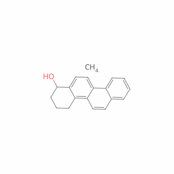 C.OC1CCCc2c1ccc1c2ccc2ccccc21